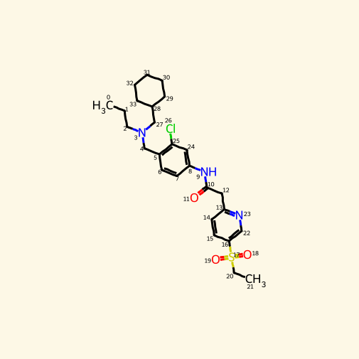 CCCN(Cc1ccc(NC(=O)Cc2ccc(S(=O)(=O)CC)cn2)cc1Cl)CC1CCCCC1